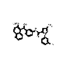 COc1ccc2ccccc2c1C(O)c1cccc(NC(=O)c2cc(C(F)(F)F)nn2-c2cccc(C#N)c2)c1